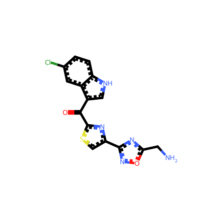 NCc1nc(-c2csc(C(=O)c3c[nH]c4ccc(Cl)cc34)n2)no1